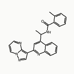 Cc1ccccc1C(=O)NC(C)c1cc(-c2cnn3cccnc23)nc2ccccc12